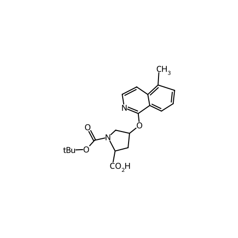 Cc1cccc2c(OC3CC(C(=O)O)N(C(=O)OC(C)(C)C)C3)nccc12